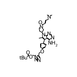 Cc1c(-c2ccc(OCc3cnnn3COC(=O)C(C)(C)C)cc2)c2c(N)ncnc2n1[C@@H]1CCN(C(=O)C=CCN(C)C)C1